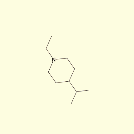 CCN1CCC(C(C)C)CC1